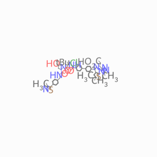 Cc1ncsc1-c1ccc(CNC(=O)[C@@H]2C[C@@H](O)CN2C(=O)C(NC(=O)c2ccc(-c3ccc(C4=N[C@@H](CC(=O)O)c5nnc(C)n5-c5sc(C)c(C)c54)cc3)cc2Cl)C(C)(C)C)cc1